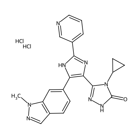 Cl.Cl.Cn1ncc2ccc(-c3[nH]c(-c4cccnc4)nc3-c3n[nH]c(=O)n3C3CC3)cc21